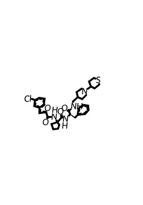 O=C(NC1(C(=O)N[C@H](Cc2ccccc2)C(=O)NCC2CCN(C3CCSCC3)CC2)CCCC1)c1cc2cc(Cl)ccc2o1